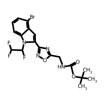 CC(C)(C)OC(=O)NCc1nc(-c2cc3c(Br)cccc3n2C(F)C(F)F)no1